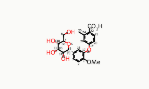 COc1ccc([C@H]2O[C@H](CO)[C@@H](O)[C@H](O)[C@@H]2O)cc1Oc1ccc(C(=O)O)c(C)c1